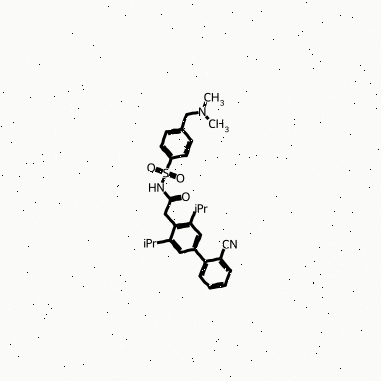 CC(C)c1cc(-c2ccccc2C#N)cc(C(C)C)c1CC(=O)NS(=O)(=O)c1ccc(CN(C)C)cc1